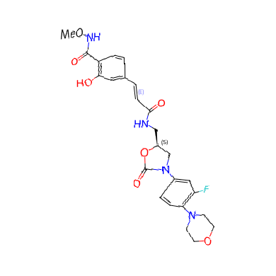 CONC(=O)c1ccc(/C=C/C(=O)NC[C@H]2CN(c3ccc(N4CCOCC4)c(F)c3)C(=O)O2)cc1O